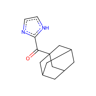 O=C(c1ncc[nH]1)C12CC3CC(CC(C3)C1)C2